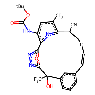 CC(C)(C)OC(=O)Nc1cc(C(F)(F)F)c2nc1-c1nnc(o1)C(O)(C(F)(F)F)c1cccc(c1)C=CCCC2C#N